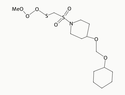 COOOSCS(=O)(=O)N1CCC(OCOC2CCCCC2)CC1